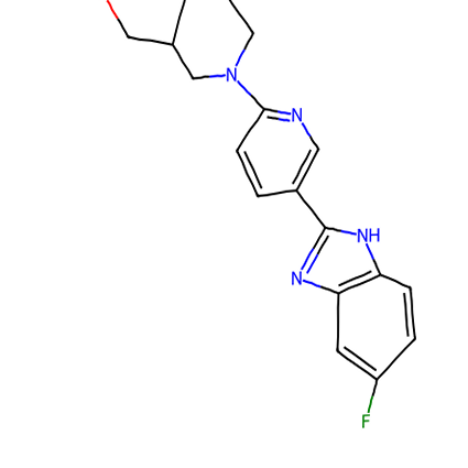 OCC1CCCN(c2ccc(-c3nc4cc(F)ccc4[nH]3)cn2)C1